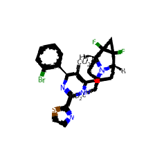 CCOC(=O)C1=C(CN2[C@H]3CC(CC(=O)O)C[C@@H]2C2(F)CC32F)NC(c2nccs2)=N[C@H]1c1ccccc1Br